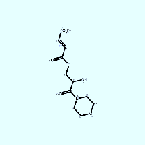 CCOC(=O)/C=C/C(=O)OCC(O)C(=O)N1CCOCC1